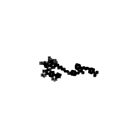 Cc1ncsc1-c1ccc([C@H](C)NC(=O)[C@@H]2C[C@@H](O)CN2C(=O)[C@@H](NC(=O)COCCOCCOc2ccc(CN3C(=O)/C(=C\C=C\c4ccc([N+](=O)[O-])cc4)c4ccccc43)cc2)C(C)(C)C)cc1